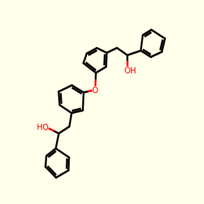 OC(Cc1cccc(Oc2cccc(CC(O)c3ccccc3)c2)c1)c1ccccc1